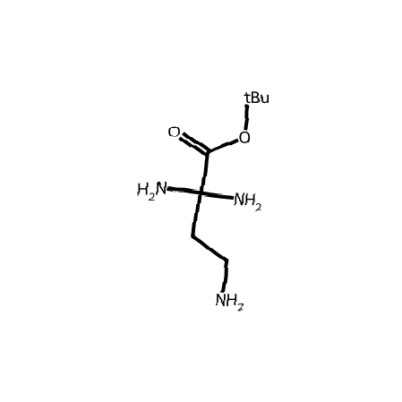 CC(C)(C)OC(=O)C(N)(N)CCN